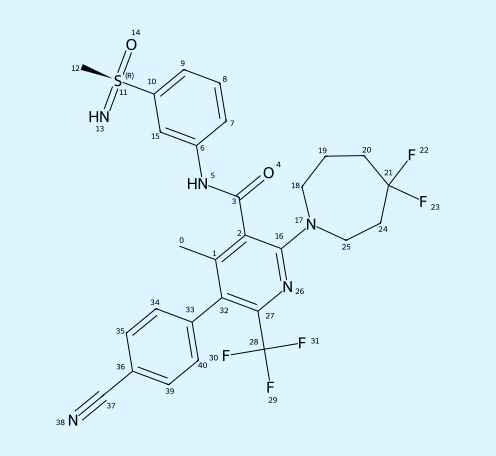 Cc1c(C(=O)Nc2cccc([S@](C)(=N)=O)c2)c(N2CCCC(F)(F)CC2)nc(C(F)(F)F)c1-c1ccc(C#N)cc1